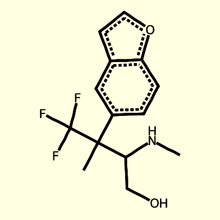 CNC(CO)C(C)(c1ccc2occc2c1)C(F)(F)F